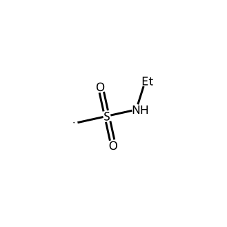 [CH2]S(=O)(=O)NCC